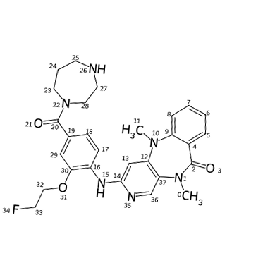 CN1C(=O)c2ccccc2N(C)c2cc(Nc3ccc(C(=O)N4CCCNCC4)cc3OCCF)ncc21